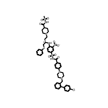 CS(=O)(=O)NC(=O)C1CCN(CC[C@H](CSc2ccccc2)Nc2ccc(S(=O)(=O)NC(=O)c3ccc(N4CCN(Cc5ccccc5-c5ccc(Cl)cc5)CC4)cc3)cc2[N+](=O)[O-])CC1